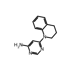 Nc1cc(N2CCCc3ccccc32)ncn1